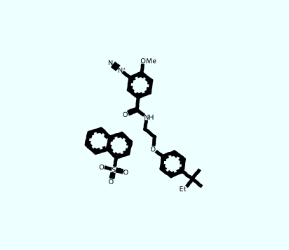 CCC(C)(C)c1ccc(OCCNC(=O)c2ccc(OC)c([N+]#N)c2)cc1.O=S(=O)([O-])c1cccc2ccccc12